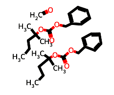 C=O.CCCC(C)(C)OC(=O)OCc1ccccc1.CCCC(C)(C)OC(=O)OCc1ccccc1